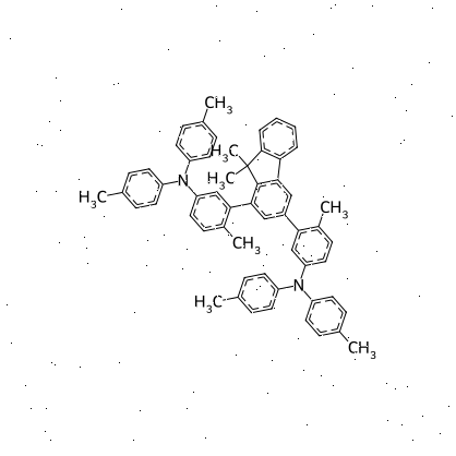 Cc1ccc(N(c2ccc(C)cc2)c2ccc(C)c(-c3cc(-c4cc(N(c5ccc(C)cc5)c5ccc(C)cc5)ccc4C)c4c(c3)-c3ccccc3C4(C)C)c2)cc1